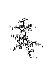 CCC(=O)OC[C@H]1O[C@H](OC(=O)CC)[C@H](NC(C)=O)[C@@H](OC(C)CN(C(=O)C(N)CC)[C@H](CCC(=O)O)C(N)=O)[C@@H]1OC(=O)CC